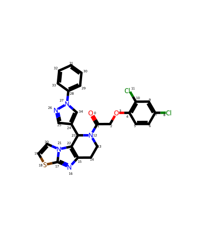 O=C(COc1ccc(Cl)cc1Cl)N1CCc2nc3sccn3c2C1c1cnn(-c2ccccc2)c1